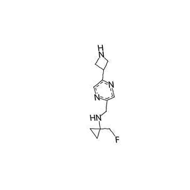 FCC1(NCc2cnc(C3CNC3)cn2)CC1